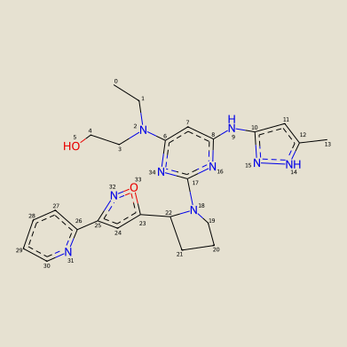 CCN(CCO)c1cc(Nc2cc(C)[nH]n2)nc(N2CCCC2c2cc(-c3ccccn3)no2)n1